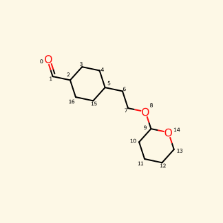 O=CC1CCC(CCOC2CCCCO2)CC1